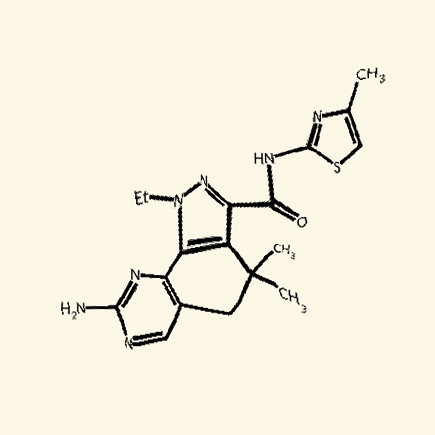 CCn1nc(C(=O)Nc2nc(C)cs2)c2c1-c1nc(N)ncc1CC2(C)C